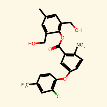 Cc1cc(CO)c(OC(=O)c2cc(Oc3ccc(C(F)(F)F)cc3Cl)ccc2[N+](=O)[O-])c(CO)c1